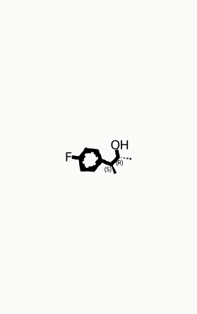 C[C@@H](O)[C@@H](C)c1ccc(F)cc1